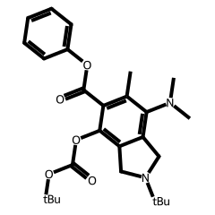 Cc1c(C(=O)Oc2ccccc2)c(OC(=O)OC(C)(C)C)c2c(c1N(C)C)CN(C(C)(C)C)C2